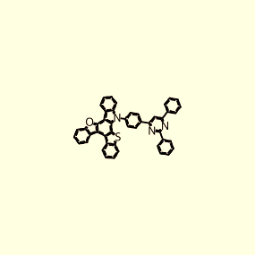 c1ccc(-c2cc(-c3ccc(-n4c5ccccc5c5c6oc7ccccc7c6c6c7ccccc7sc6c54)cc3)nc(-c3ccccc3)n2)cc1